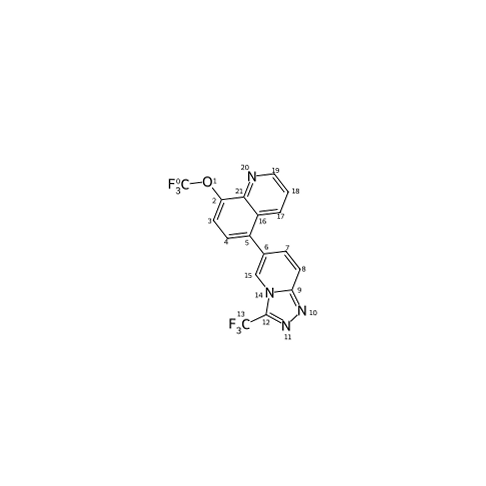 FC(F)(F)Oc1ccc(-c2ccc3nnc(C(F)(F)F)n3c2)c2cccnc12